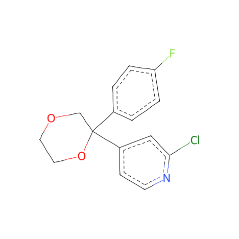 Fc1ccc(C2(c3ccnc(Cl)c3)COCCO2)cc1